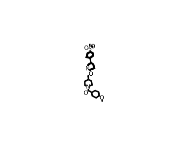 COC1CCC(C(=O)N2CCC(COc3ccc(-c4ccc(S(C)(=O)=O)cc4)cn3)CC2)CC1